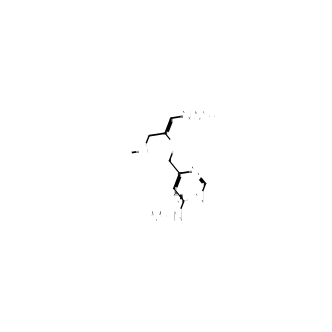 CCOC/C(=C/NC)SCC(=C/CNC)/N=C\NC